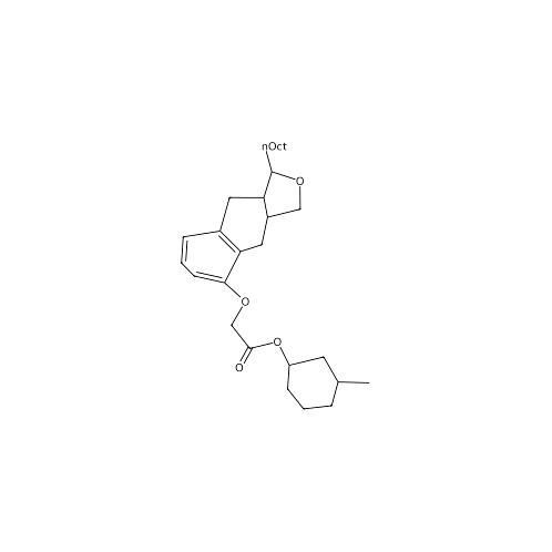 CCCCCCCCC1OCC2Cc3c(cccc3OCC(=O)OC3CCCC(C)C3)CC21